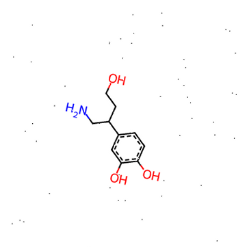 NCC(CCO)c1ccc(O)c(O)c1